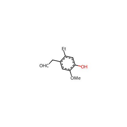 CCc1cc(O)c(OC)cc1CC=O